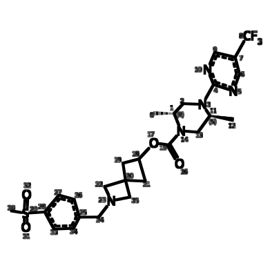 C[C@@H]1CN(c2ncc(C(F)(F)F)cn2)[C@@H](C)CN1C(=O)OC1CC2(C1)CN(Cc1ccc(S(C)(=O)=O)cc1)C2